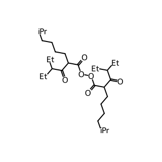 CCC(CC)C(=O)C(CCCCC(C)C)C(=O)OOC(=O)C(CCCCC(C)C)C(=O)C(CC)CC